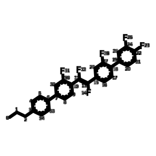 CCCc1ccc(-c2ccc(/C(F)=C(\F)c3ccc(-c4ccc(F)c(F)c4)c(F)c3)c(F)c2)cc1